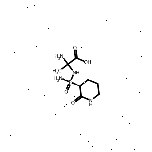 CC(N)(NP(N)(=O)[C@H]1CCCNC1=O)C(=O)O